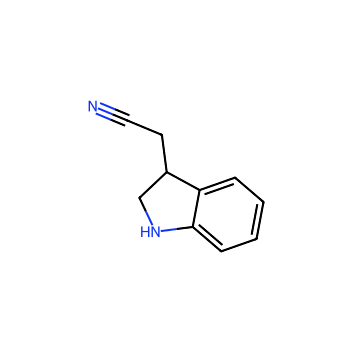 N#CCC1CNc2ccccc21